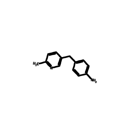 Cc1ccc(Cc2ccc(N)cc2)cn1